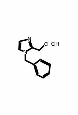 Cl.ClCc1nccn1Cc1ccccc1